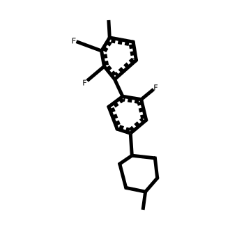 Cc1ccc(-c2ccc(C3CCC(C)CC3)cc2F)c(F)c1F